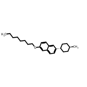 CCCCCCCCOc1ccc2cc([C@H]3CC[C@H](C)CC3)ccc2c1